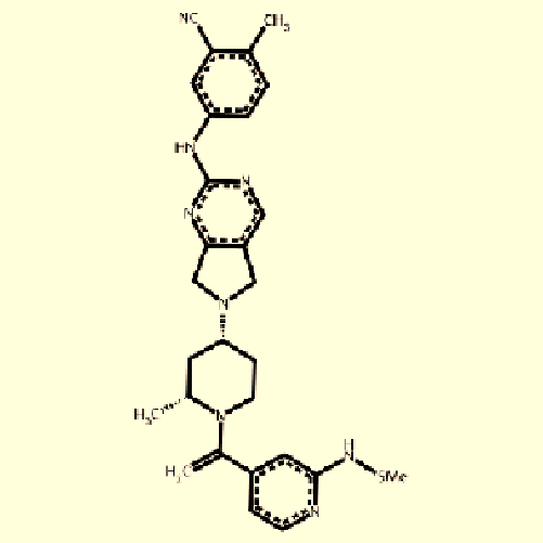 C=C(c1ccnc(NSC)c1)N1CC[C@@H](N2Cc3cnc(Nc4ccc(C)c(C#N)c4)nc3C2)C[C@H]1C